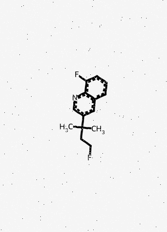 CC(C)(CCF)c1cnc2c(F)cccc2c1